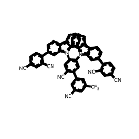 N#Cc1cc(-c2cc(-n3c4ccccc4c4ccc(-c5ccc(C#N)cc5C#N)cc43)c(-n3c4ccccc4c4ccc(-c5ccc(C#N)cc5C#N)cc43)cc2C#N)cc(C(F)(F)F)c1